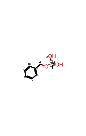 O[SiH](O)OCc1ccccc1